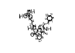 CC(NC(CCc1ccccc1)C(=O)O)C(=O)N1CCCC1C(=O)OCCCCCON(O)O